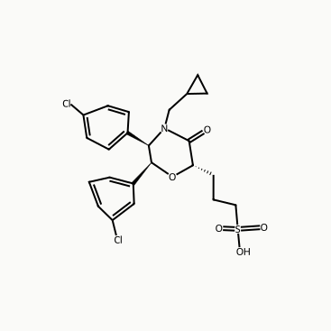 O=C1[C@H](CCCS(=O)(=O)O)O[C@@H](c2cccc(Cl)c2)[C@@H](c2ccc(Cl)cc2)N1CC1CC1